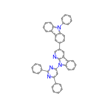 c1ccc(-c2cc(-n3c4ccccc4c4cc(-c5ccc6c(c5)c5ccccc5n6-c5ccccc5)cnc43)nc(-c3ccccc3)n2)cc1